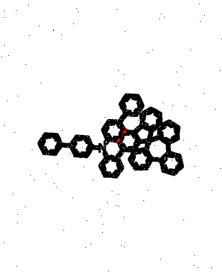 c1ccc(-c2ccc(N(c3ccc(-c4ccccc4)cc3)c3ccccc3-c3ccc4c(c3)C3(c5ccccc5-c5ccccc5-c5ccccc53)c3ccccc3-4)cc2)cc1